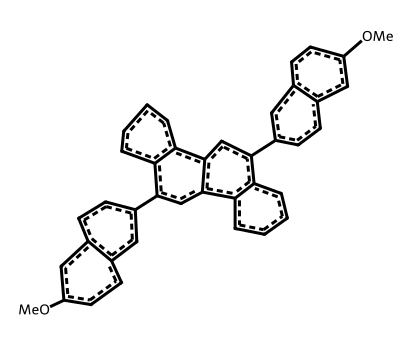 COc1ccc2cc(-c3cc4c5ccccc5c(-c5ccc6cc(OC)ccc6c5)cc4c4ccccc34)ccc2c1